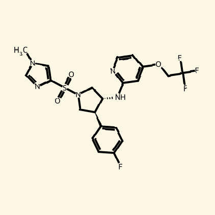 Cn1cnc(S(=O)(=O)N2C[C@H](Nc3cc(OCC(F)(F)F)ccn3)[C@@H](c3ccc(F)cc3)C2)c1